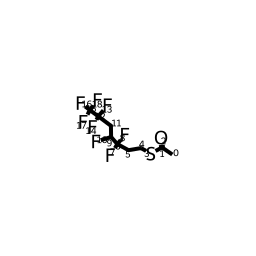 CC(=O)SCCC(F)(F)C(F)CC(F)(F)C(F)(F)F